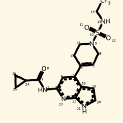 O=C(Nc1cc(C2=CCN(S(=O)(=O)NCC(F)(F)F)CC2)c2cc[nH]c2n1)C1CC1